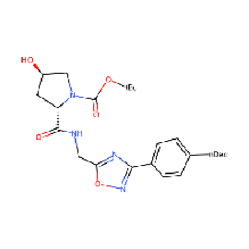 CCCCCCCCCCc1ccc(-c2noc(CNC(=O)[C@@H]3C[C@@H](O)CN3C(=O)OC(C)(C)C)n2)cc1